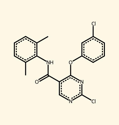 Cc1cccc(C)c1NC(=O)c1cnc(Cl)nc1Oc1cccc(Cl)c1